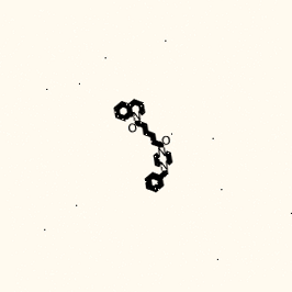 O=C(CCCCC(=O)N1CCCC2CCCCC21)N1CCN(Cc2ccccc2)CC1